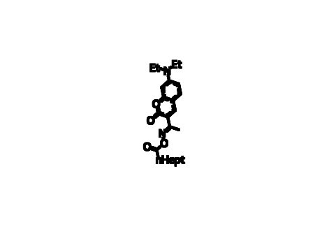 CCCCCCCC(=O)O/N=C(\C)c1cc2ccc(N(CC)CC)cc2oc1=O